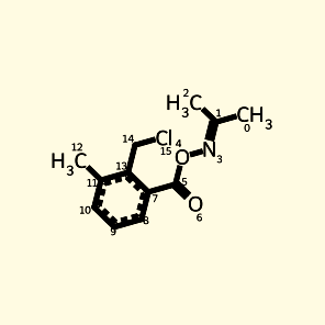 CC(C)=NOC(=O)c1cccc(C)c1CCl